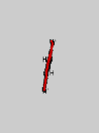 [N-]=[N+]=NCCCCCCCCCCCCCCCCCC(=O)NCCOCCOCCOCCOCCNC(=O)CCCCCCCCCCCCCCCCCN=[N+]=[N-]